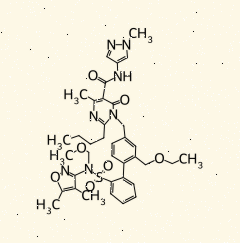 CCCCc1nc(C)c(C(=O)Nc2cnn(C)c2)c(=O)n1Cc1ccc(-c2ccccc2S(=O)(=O)N(COC)c2noc(C)c2C)c(COCC)c1